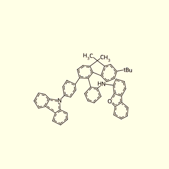 CC(C)(C)c1ccc2c(c1)C(C)(C)c1ccc(-c3ccc(-n4c5ccccc5c5ccccc54)cc3)c(-c3ccccc3Nc3cccc4c3oc3ccccc34)c1-2